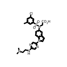 Cc1cc(Cl)cc(S(=O)(=O)N(CC(=O)O)c2ccc3c(ccn3-c3cnc(NCCN(C)C)cn3)c2)c1